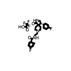 O=C(NCCN1CCC2(CC1)C(=O)NC[C@@H]2c1ccc(F)cc1)c1ccc(F)cc1.O=C(O)C(F)(F)F